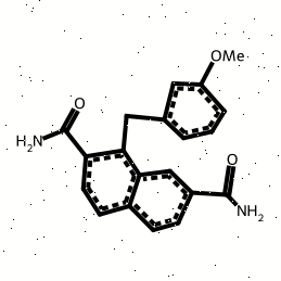 COc1cccc(Cc2c(C(N)=O)ccc3ccc(C(N)=O)cc23)c1